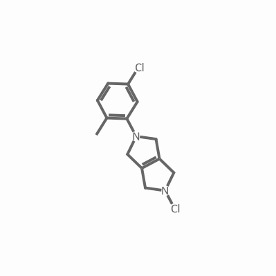 Cc1ccc(Cl)cc1N1CC2=C(CN(Cl)C2)C1